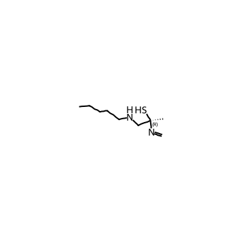 C=N[C@](C)(S)CNCCCCC